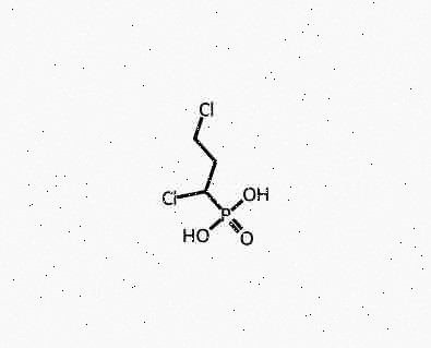 O=P(O)(O)C(Cl)CCCl